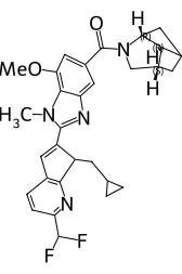 COc1cc(C(=O)N2C[C@H]3CC4C[C@@H]2[C@H]43)cc2nc(C3=Cc4ccc(C(F)F)nc4C3CC3CC3)n(C)c12